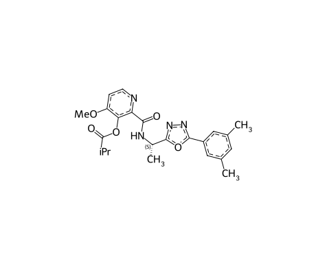 COc1ccnc(C(=O)N[C@@H](C)c2nnc(-c3cc(C)cc(C)c3)o2)c1OC(=O)C(C)C